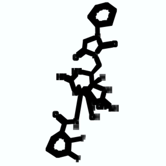 N=C1N[C@H]2[C@H](CN3C(=O)CN(c4ccccc4)C3=O)NC(=N)N3CC(NC(=O)c4cccc(F)c4F)C(O)(O)C23N1